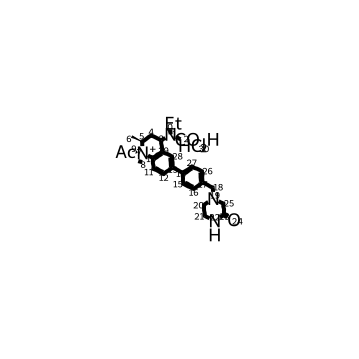 CCN(C(=O)O)C1C[C@H](C)[N@+](C)(C(C)=O)c2ccc(-c3ccc(CN4CCNC(=O)C4)cc3)cc21.Cl